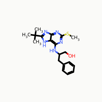 CSc1nc(NC(CO)Cc2ccccc2)c2[nH]c(C(C)(C)C)nc2n1